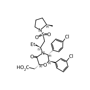 CC[C@@H](CS(=O)(=O)N1CCC[C@H]1C)N1C(=O)[C@@H](CC(=O)O)O[C@H](c2cccc(Cl)c2)[C@H]1c1ccc(Cl)cc1